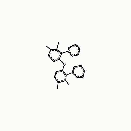 Cc1ccc(Oc2ccc(C)c(C)c2-c2ccccc2)c(-c2ccccc2)c1C